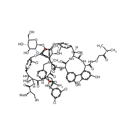 CN[C@H](CC(C)C)C(=O)N[C@H]1C(=O)N[C@@H](CC(N)=O)C(=O)N[C@H]2C(=O)N[C@H]3C(=O)N[C@H](C(=O)N[C@@H](C(=O)NOCC(=O)N(C)C)c4cc(O)cc(O)c4-c4cc3ccc4O)[C@H](O)c3ccc(c(Cl)c3)Oc3cc2cc(c3O[C@@H]2O[C@H](CO)[C@@H](O)[C@H](O)[C@H]2O[C@H]2C[C@](C)(NCc3cncc(C(=O)Nc4cc(Cl)cc(Cl)c4)c3)[C@H](O)[C@H](C)O2)Oc2ccc(cc2Cl)[C@H]1O